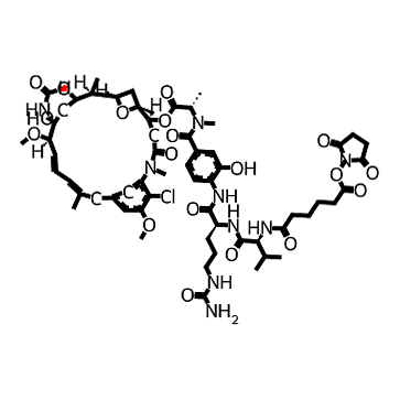 COc1cc2cc(c1Cl)N(C)C(=O)C[C@H](OC(=O)[C@H](C)N(C)C(=O)c1ccc(NC(=O)[C@H](CCCNC(N)=O)NC(=O)[C@@H](NC(=O)CCCCC(=O)ON3C(=O)CCC3=O)C(C)C)c(O)c1)[C@@]1(C)C[C@@H](O1)[C@H](C)[C@@H]1C[C@@](O)(NC(=O)O1)[C@H](OC)/C=C/C=C(\C)C2